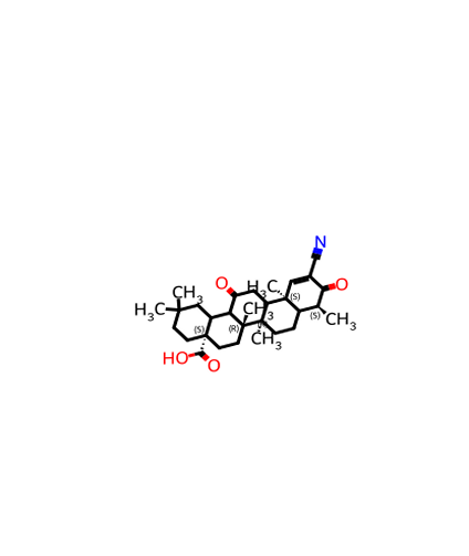 C[C@@H]1C(=O)C(C#N)=C[C@@]2(C)C1CC[C@]1(C)C2CC(=O)C2C3CC(C)(C)CC[C@]3(C(=O)O)CC[C@]21C